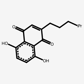 CC(C)CCCC1=CC(=O)c2c(O)ccc(O)c2C1=O